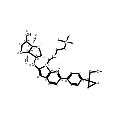 C[Si](C)(C)CCOCn1c(O[C@@H]2CO[C@H]3[C@@H]2OC[C@H]3O)cc2ccc(-c3ccc(C4(CO)CC4)cc3)nc21